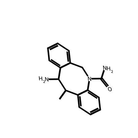 CC1c2ccccc2N(C(N)=O)Cc2ccccc2C1N